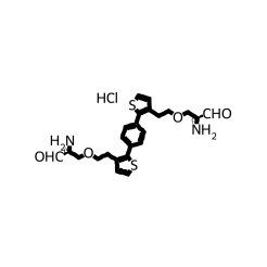 Cl.N[C@H](C=O)COCCc1ccsc1-c1ccc(-c2sccc2CCOC[C@H](N)C=O)cc1